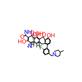 CC1CCN(Cc2ccc(F)c(-c3ccc(O)c4c3C[C@H]3C[C@H]5[C@H](N(C)C)C(O)=C(C(N)=O)C(=O)[C@@]5(O)C(O)=C3C4=O)c2)CC1